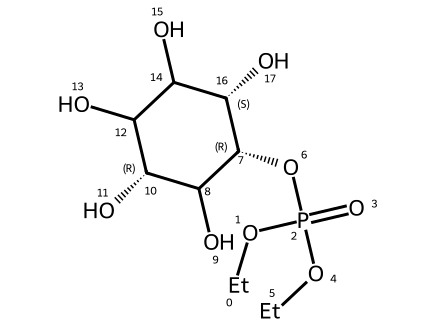 CCOP(=O)(OCC)O[C@@H]1C(O)[C@H](O)C(O)C(O)[C@@H]1O